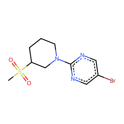 CS(=O)(=O)C1CCCN(c2ncc(Br)cn2)C1